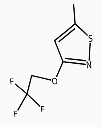 Cc1cc(OCC(F)(F)F)ns1